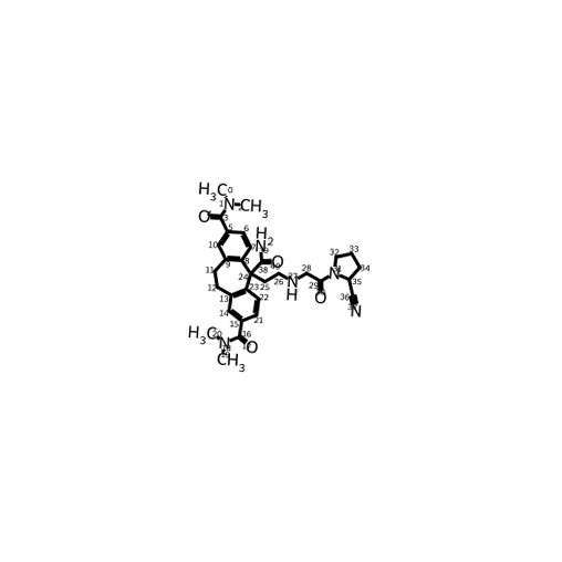 CN(C)C(=O)c1ccc2c(c1)CCc1cc(C(=O)N(C)C)ccc1C2(CCNCC(=O)N1CCCC1C#N)C(N)=O